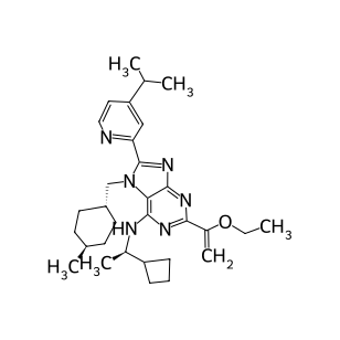 C=C(OCC)c1nc(N[C@H](C)C2CCC2)c2c(n1)nc(-c1cc(C(C)C)ccn1)n2C[C@H]1CC[C@H](C)CC1